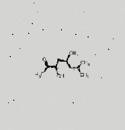 CC(=O)C(O)CC(C)CC(C)C